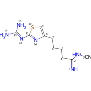 N#CNC(=N)CCCCc1csc(N=C(N)N)n1